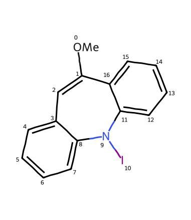 COC1=Cc2ccccc2N(I)c2ccccc21